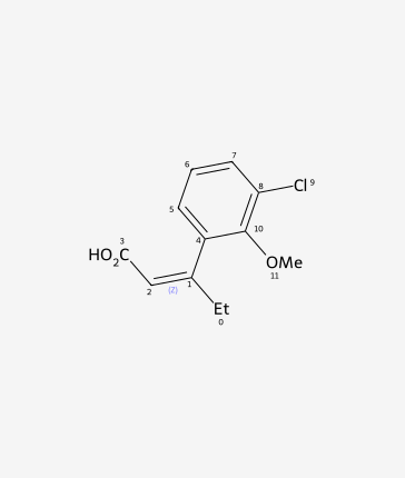 CC/C(=C/C(=O)O)c1cccc(Cl)c1OC